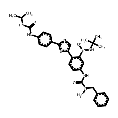 CC(C)NC(=S)Nc1ccc(-c2ncc(-c3ccc(NC(=O)N(C)Cc4ccccc4)cc3[S+]([O-])NC(C)(C)C)s2)cc1